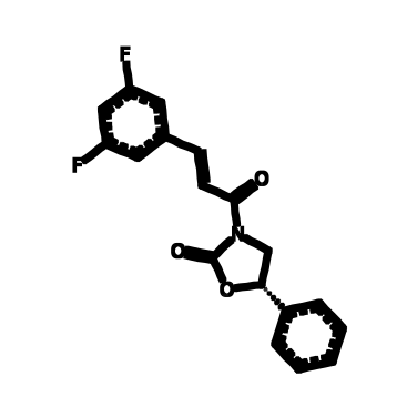 O=C(/C=C/c1cc(F)cc(F)c1)N1C[C@H](c2ccccc2)OC1=O